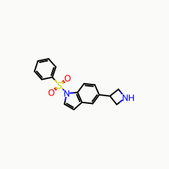 O=S(=O)(c1ccccc1)n1ccc2cc(C3CNC3)ccc21